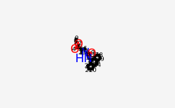 CCOC(=O)C1CN(C(=O)Nc2c3c(cc4c2CCC4)CCC3)C1